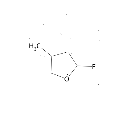 CC1COC(F)C1